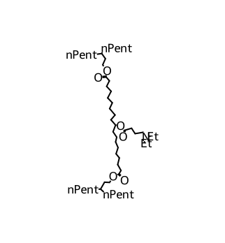 CCCCCC(CCCCC)CCOC(=O)CCCCCCCCC(CCCCCCCCC(=O)OCCC(CCCCC)CCCCC)OC(=O)CCCN(CC)CC